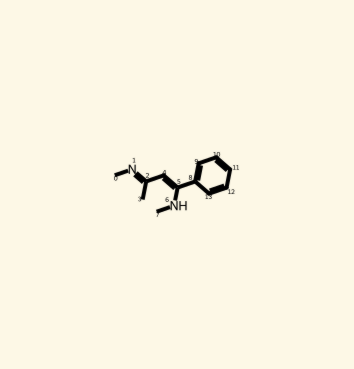 C/N=C(C)/C=C(\NC)c1ccccc1